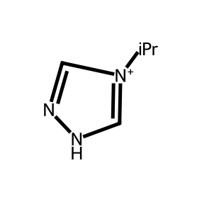 CC(C)[n+]1cn[nH]c1